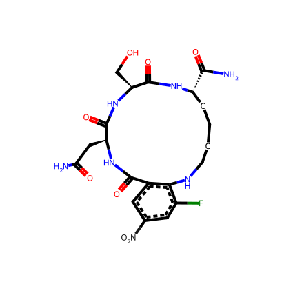 NC(=O)C[C@@H]1NC(=O)c2cc([N+](=O)[O-])cc(F)c2NCCCC[C@@H](C(N)=O)NC(=O)[C@H](CO)NC1=O